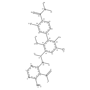 C=C(C)c1c(N)ncnc1N(C)C(C)c1cc(Cl)c(C)c(-c2ccc(C(=O)N(C)C)c(F)c2)c1OC